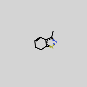 Cc1nsc2c1C=CCC2